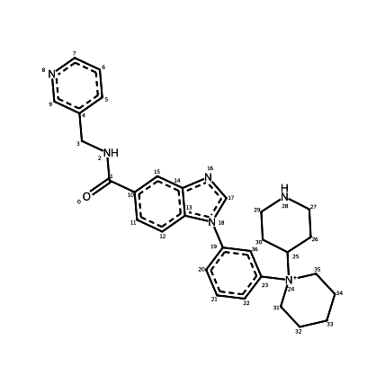 O=C(NCc1cccnc1)c1ccc2c(c1)ncn2-c1cccc([N+]2(C3CCNCC3)CCCCC2)c1